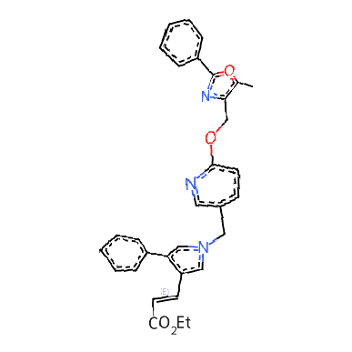 CCOC(=O)/C=C/c1cn(Cc2ccc(OCc3nc(-c4ccccc4)oc3C)nc2)cc1-c1ccccc1